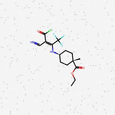 CCOC(=O)[C@]1(C)CC[C@@H](N/C(=C(\C=N)C(=O)Cl)C(F)(F)F)CC1